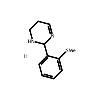 CSc1ccccc1C1N=CCCN1.I